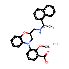 COc1c(C(=O)O)cccc1N1CC(CN[C@H](C)c2cccc3ccccc23)Oc2ccccc21.Cl